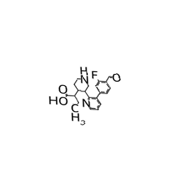 CCC(C(=O)O)C1CCNCC1c1ncccc1-c1ccc(C=O)c(F)c1